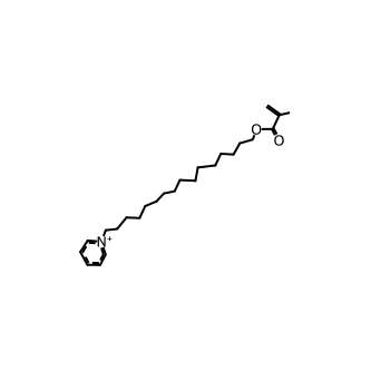 C=C(C)C(=O)OCCCCCCCCCCCCCCCC[n+]1ccccc1